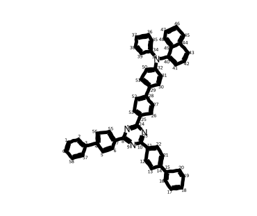 c1ccc(-c2ccc(-c3nc(-c4ccc(-c5ccccc5)cc4)nc(-c4ccc(-c5ccc(N(c6ccccc6)c6cccc7ccccc67)cc5)cc4)n3)cc2)cc1